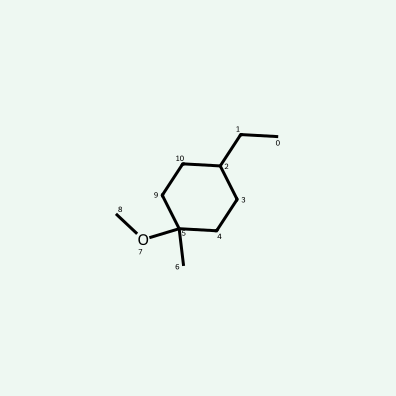 CCC1CCC(C)(OC)CC1